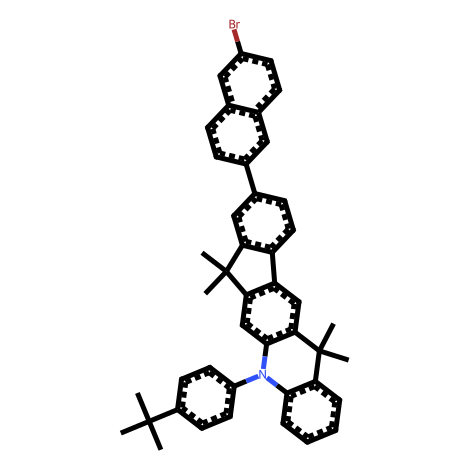 CC(C)(C)c1ccc(N2c3ccccc3C(C)(C)c3cc4c(cc32)C(C)(C)c2cc(-c3ccc5cc(Br)ccc5c3)ccc2-4)cc1